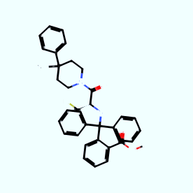 CC(C)(C)OC(=O)c1ccccc1C(N[C@@H](CS)C(=O)N1CCC(C#N)(c2ccccc2)CC1)(c1ccccc1)c1ccccc1